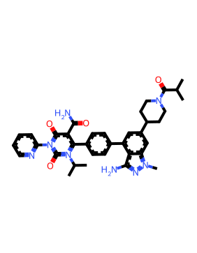 CC(C)C(=O)N1CCC(c2cc(-c3ccc(-c4c(C(N)=O)c(=O)n(-c5ccccn5)c(=O)n4C(C)C)cc3)c3c(N)nn(C)c3c2)CC1